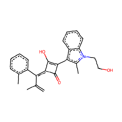 C=C(C)/C(=C1\C(=O)C(c2c(C)n(CCO)c3ccccc23)=C1O)c1ccccc1C